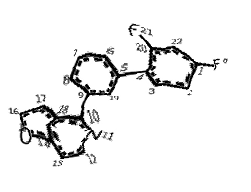 Fc1ccc(-c2cccc(-c3nccc4occc34)c2)c(F)c1